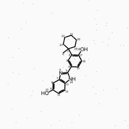 CC1(c2cc(-c3nc4cc(O)ccc4[nH]3)ccc2O)CCCCC1